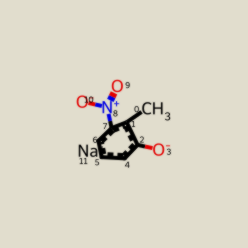 Cc1c([O-])cccc1[N+](=O)[O-].[Na+]